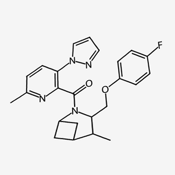 Cc1ccc(-n2cccn2)c(C(=O)N2C3CC(C3)C(C)C2COc2ccc(F)cc2)n1